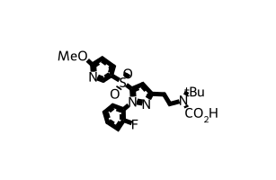 COc1ccc(S(=O)(=O)c2cc(CCN(C(=O)O)C(C)(C)C)nn2-c2ccccc2F)cn1